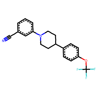 N#Cc1cccc(N2CCC(c3ccc(OC(F)(F)F)cc3)CC2)c1